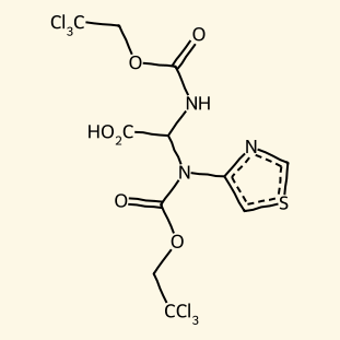 O=C(NC(C(=O)O)N(C(=O)OCC(Cl)(Cl)Cl)c1cscn1)OCC(Cl)(Cl)Cl